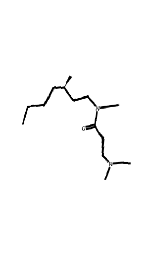 CCCC[C@@H](C)CCN(C)C(=O)CCN(C)C